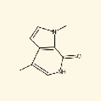 Cc1c[nH]c(=O)c2c1ccn2C